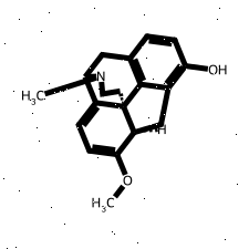 COC1=CC=C2C3Cc4ccc(O)c5c4[C@@]2(CCN3C)[C@H]1C5